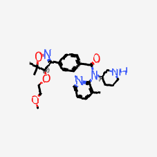 COCCO[C@@H]1C(c2ccc(C(=O)N(c3ncccc3C)[C@@H]3CCCNC3)cc2)=NOC1(C)C